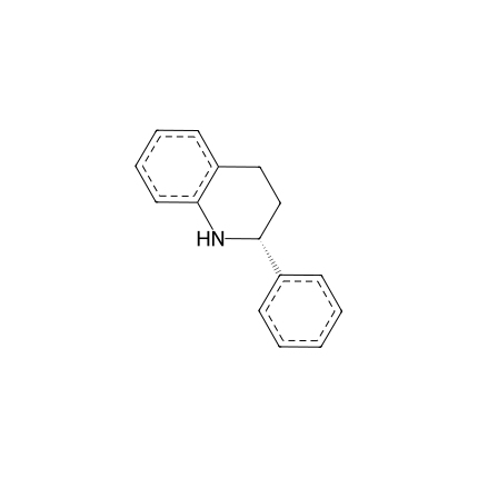 c1ccc([C@H]2CCc3ccccc3N2)cc1